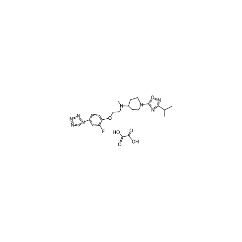 CC(C)c1noc(N2CCC(N(C)CCOc3ccc(-n4cnnn4)cc3F)CC2)n1.O=C(O)C(=O)O